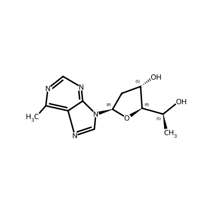 Cc1ncnc2c1ncn2[C@H]1C[C@H](O)[C@@H]([C@H](C)O)O1